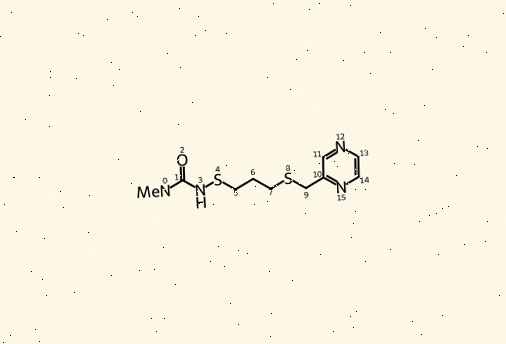 CNC(=O)NSCCCSCc1cnccn1